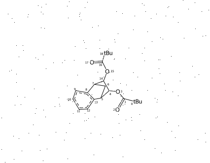 CC(C)(C)C(=O)OC1C2CC(c3ccccc32)C1OC(=O)C(C)(C)C